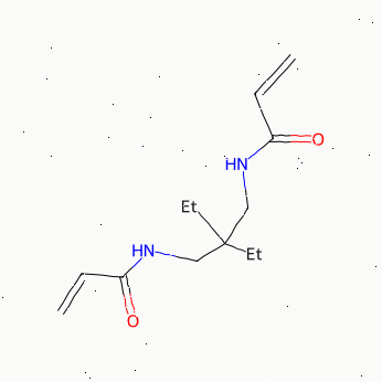 C=CC(=O)NCC(CC)(CC)CNC(=O)C=C